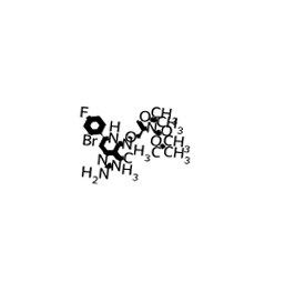 Cc1nc(N)nc2c1/C(=N/OC[C@H]1COC(C)(C)N1C(=O)OC(C)(C)C)N[C@@H](c1ccc(F)cc1Br)C2